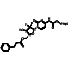 CCCCCCCOC(=O)Nc1ccn([C@@H]2O[C@H](COC(=O)CCc3ccccc3)[C@@H](O)C2(F)F)c(=O)n1